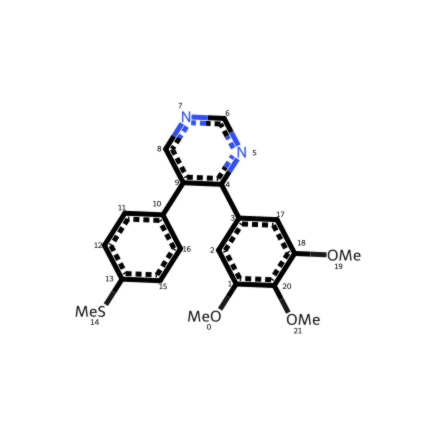 COc1cc(-c2ncncc2-c2ccc(SC)cc2)cc(OC)c1OC